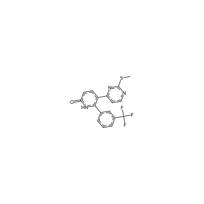 CSc1nccc(-c2ccc(=O)[nH]c2-c2cccc(C(F)(F)F)c2)n1